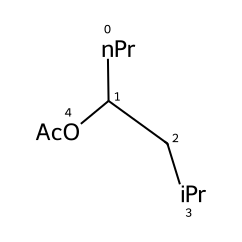 CCCC(CC(C)C)OC(C)=O